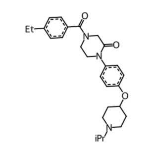 CCc1ccc(C(=O)N2CCN(c3ccc(OC4CCN(C(C)C)CC4)cc3)C(=O)C2)cc1